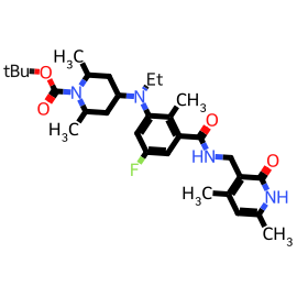 CCN(c1cc(F)cc(C(=O)NCc2c(C)cc(C)[nH]c2=O)c1C)C1CC(C)N(C(=O)OC(C)(C)C)C(C)C1